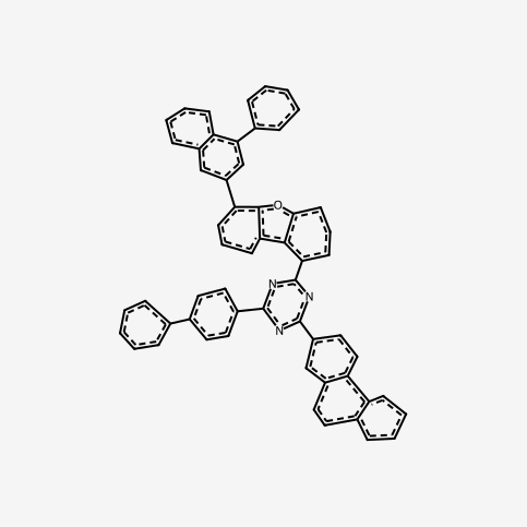 c1ccc(-c2ccc(-c3nc(-c4ccc5c(ccc6ccccc65)c4)nc(-c4cccc5oc6c(-c7cc(-c8ccccc8)c8ccccc8c7)cccc6c45)n3)cc2)cc1